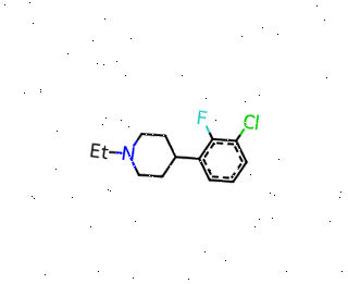 CCN1CCC(c2cccc(Cl)c2F)CC1